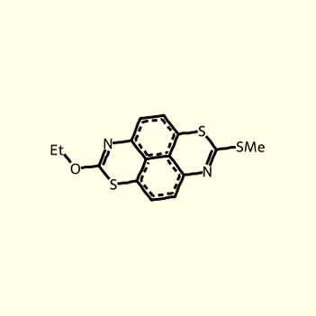 CCOC1=Nc2ccc3c4c(ccc(c24)S1)N=C(SC)S3